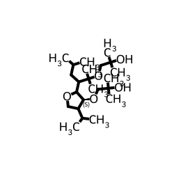 CC(C)CC(C1OCC(C(C)C)[C@@H]1OCC(C)(C)O)C(C)(C)OCC(C)(C)O